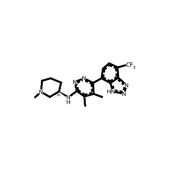 Cc1c(N[C@@H]2CCCN(C)C2)nnc(-c2ccc(C(F)(F)F)c3nn[nH]c23)c1C